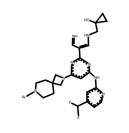 CC(=O)N1CCC2(CC1)CN(c1cc(Nc3cc(C(F)F)ccn3)nc(/C(C=N)=C/NCC3(O)CC3)n1)C2